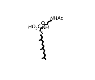 CC(=O)NCCCC(=O)N[C@@H](CSC/C=C(\C)CC/C=C(\C)CCC=C(C)C)C(=O)O